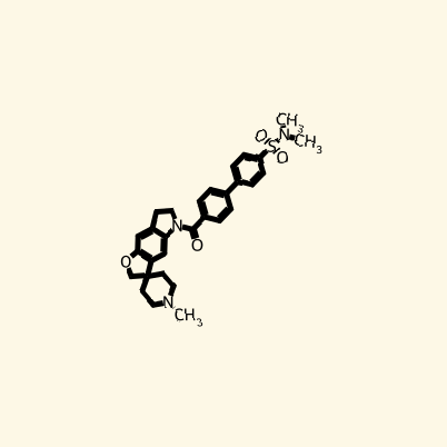 CN1CCC2(CC1)COc1cc3c(cc12)N(C(=O)c1ccc(-c2ccc(S(=O)(=O)N(C)C)cc2)cc1)CC3